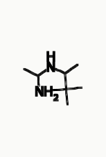 CC(N)NC(C)C(C)(C)C